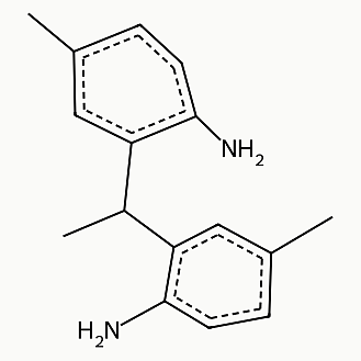 Cc1ccc(N)c(C(C)c2cc(C)ccc2N)c1